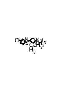 CC1C(c2nc3cc(Cl)ccc3s2)CCN(C)C1(C)C